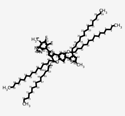 CCCCCCCCCCCCCCCC1(CCCCCCCCCCCCCCC)Oc2cc3c(cc2-c2sc(C)cc21)OC(CCCCCCCCCCCCCCC)(CCCCCCCCCCCCCCC)c1cc(-c2c(F)c(F)c(C)c4nsnc24)sc1-3